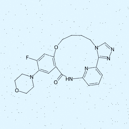 O=C1Nc2cccc(n2)-c2nncn2CCCCOc2cc(F)c(N3CCOCC3)cc21